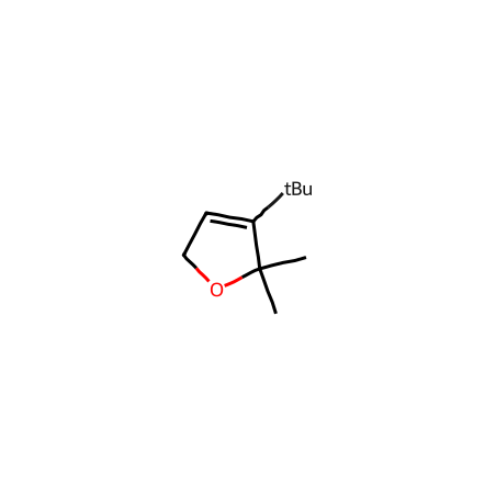 CC(C)(C)C1=CCOC1(C)C